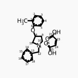 Cc1ccccc1OC1CCN(Cc2ccccc2)C1.O=C(O)/C=C\C(=O)O